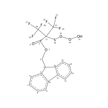 O=C(OCC1c2ccccc2-c2ccccc21)C(SOOO)(C(F)(F)F)C(F)(F)F